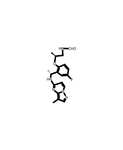 Cc1cnn2ccc(N[C@H](C)c3cc(F)ccc3O[C@@H](C)CNC=O)nc12